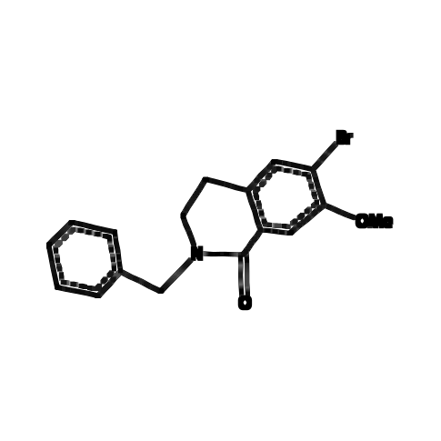 COc1cc2c(cc1Br)CCN(Cc1ccccc1)C2=O